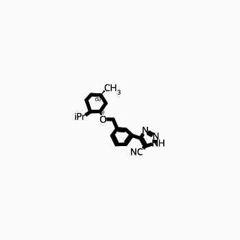 CC(C)C1CC[C@H](C)C[C@@H]1OCc1cccc(-c2nn[nH]c2C#N)c1